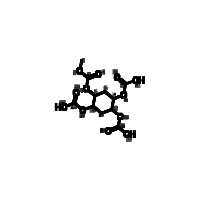 COC(=O)OC1CC(OC(=O)O)C(OC(=O)O)CC1OC(=O)O